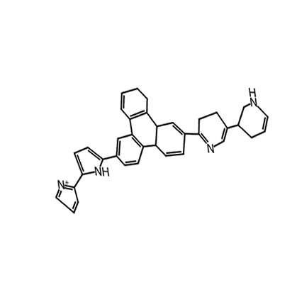 C1=CC(c2ccc(-c3ccc4c(c3)C3=C(CCC=C3)C3C=C(C5=NC=C(C6CC=CNC6)CC5)C=CC43)[nH]2)=[N+]=C1